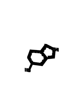 Oc1ccc2[c][nH]cc2c1